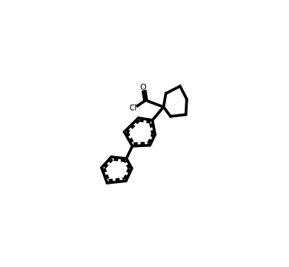 O=C(Cl)C1(c2ccc(-c3ccccc3)cc2)CCCCC1